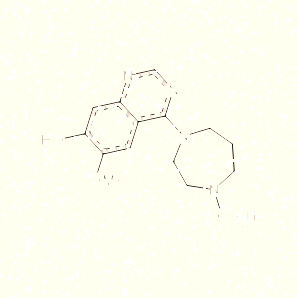 COc1cc2c(N3CCCN(C(=O)O)CC3)ncnc2cc1O